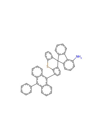 Nc1cccc2c1-c1ccccc1C21c2ccccc2Sc2c(-c3c4ccccc4c(-c4ccccc4)c4ccccc34)cccc21